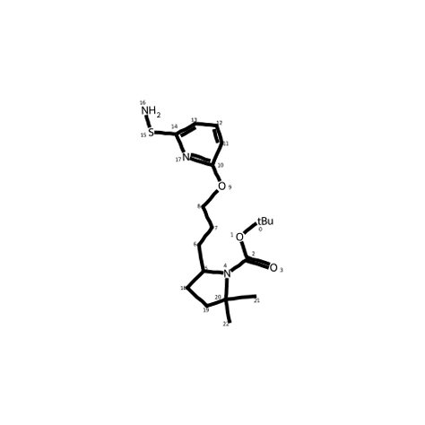 CC(C)(C)OC(=O)N1C(CCCOc2cccc(SN)n2)CCC1(C)C